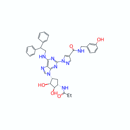 CCC(=O)N[C@H]1C[C@@H](n2cnc3c(NCC(c4ccccc4)c4ccccc4)nc(-n4cc(C(=O)NCc5cccc(O)c5)cn4)nc32)[C@H](O)[C@@H]1O